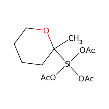 CC(=O)O[Si](OC(C)=O)(OC(C)=O)C1(C)CCCCO1